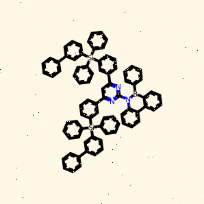 c1ccc(B2c3ccccc3-c3ccccc3N2c2nc(-c3cccc([Si](c4ccccc4)(c4ccccc4)c4cccc(-c5ccccc5)c4)c3)cc(-c3cccc([Si](c4ccccc4)(c4ccccc4)c4cccc(-c5ccccc5)c4)c3)n2)cc1